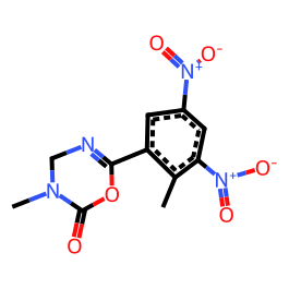 Cc1c(C2=NCN(C)C(=O)O2)cc([N+](=O)[O-])cc1[N+](=O)[O-]